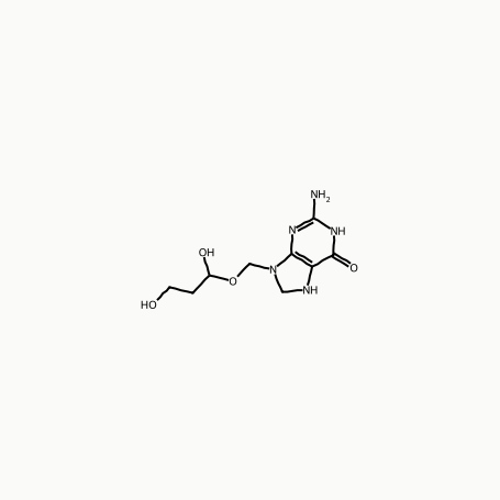 Nc1nc2c(c(=O)[nH]1)NCN2COC(O)CCO